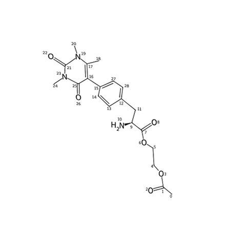 CC(=O)OCCOC(=O)[C@@H](N)Cc1ccc(-c2c(C)n(C)c(=O)n(C)c2=O)cc1